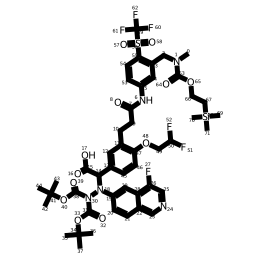 CN(Cc1cc(NC(=O)CCc2cc(C(C(=O)O)N(c3ccc4cncc(F)c4c3)N(C(=O)OC(C)(C)C)C(=O)OC(C)(C)C)ccc2OCC(F)F)ccc1S(=O)(=O)C(F)(F)F)C(=O)OCC[Si](C)(C)C